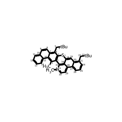 Cc1c2c(c(CC(C)(C)C)c3ccc4ccccc4c13)Sc1cc3c(CC(C)(C)C)cccc3c3cc[n+](C)c-2c13